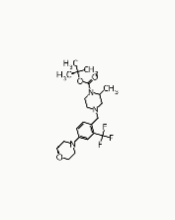 CC1CN(Cc2ccc(N3CCOCC3)cc2C(F)(F)F)CCN1C(=O)OC(C)(C)C